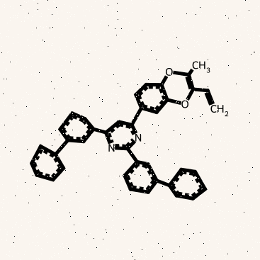 C=CC1=C(C)Oc2ccc(-c3cc(-c4cccc(-c5ccccc5)c4)nc(-c4cccc(-c5ccccc5)c4)n3)cc2O1